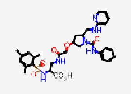 Cc1cc(C)c(S(=O)(=O)NC(CNC(=O)COC2CC(CNc3ccccn3)N(C(=O)Nc3ccccc3)C2)C(=O)O)c(C)c1